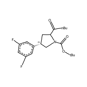 CCCCC(=O)C1C[C@@H](c2cc(F)cc(F)c2)CN1C(=O)OC(C)(C)C